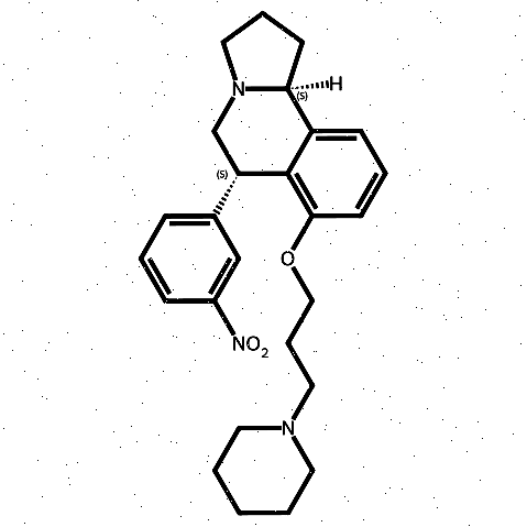 O=[N+]([O-])c1cccc([C@@H]2CN3CCC[C@H]3c3cccc(OCCCN4CCCCC4)c32)c1